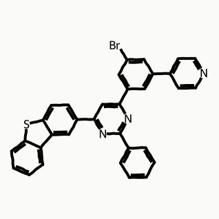 Brc1cc(-c2ccncc2)cc(-c2cc(-c3ccc4sc5ccccc5c4c3)nc(-c3ccccc3)n2)c1